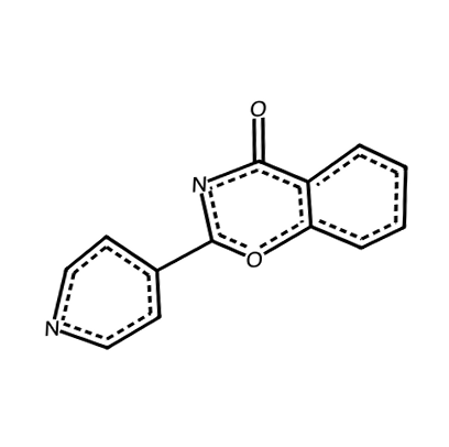 O=c1nc(-c2ccncc2)oc2ccccc12